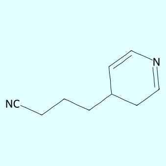 N#CCCCC1C=CN=CC1